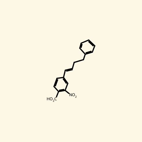 O=C(O)c1ccc(C=CCCc2ccccc2)cc1[N+](=O)[O-]